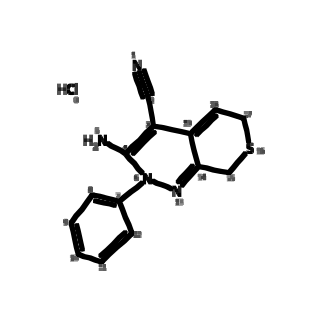 Cl.N#CC1=C(N)N(c2ccccc2)N=C2CSCC=C21